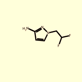 Nc1ccn(CC(F)F)n1